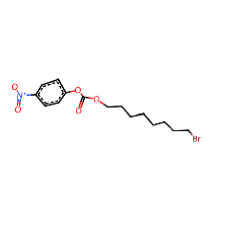 O=C(OCCCCCCCCBr)Oc1ccc([N+](=O)[O-])cc1